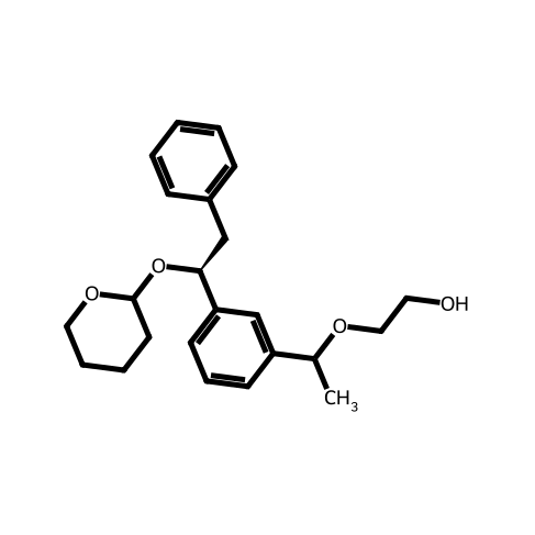 CC(OCCO)c1cccc([C@H](Cc2ccccc2)OC2CCCCO2)c1